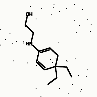 CCC1(CC)C=CC(NCCO)=CC1